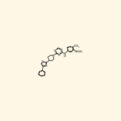 CC(=O)Nc1cc(Nc2ncnc(N3CCC(c4nc(-c5ccccc5)cs4)CC3)n2)ccc1C